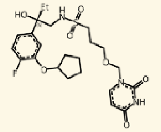 CC[C@@](O)(CNS(=O)(=O)CCCOCn1ccc(=O)[nH]c1=O)c1ccc(F)c(OC2CCCC2)c1